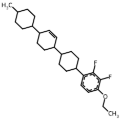 CCOc1ccc(C2CCC(C3C=CC(C4CCC(C)CC4)CC3)CC2)c(F)c1F